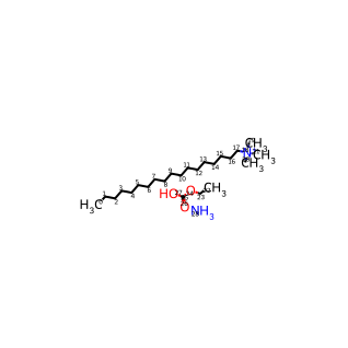 CCCCCCCCCCCCCCCCCC[N+](C)(C)C.CCOC(=O)O.N